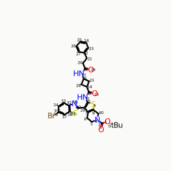 CC(C)(C)OC(=O)N1CCc2c(sc(NC(=O)C3CC(NC(=O)CCc4ccccc4)C3)c2-c2nc3ccc(Br)cc3s2)C1